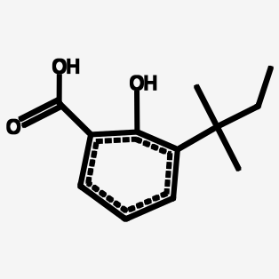 CCC(C)(C)c1cccc(C(=O)O)c1O